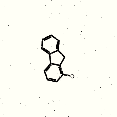 [O]c1cccc2c1Cc1ccccc1-2